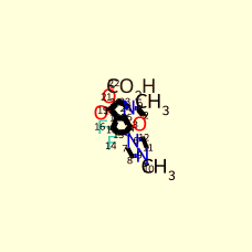 CC1=COc2c(N3CCN(C)CC3)c(F)c(F)c3c(=O)c(OC(=O)O)cn1c23